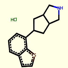 Cl.c1cc(C2CC3CNCC3C2)c2sccc2c1